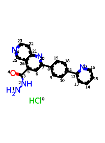 Cl.NNC(=O)c1cc(-c2ccc(-c3ccccn3)cc2)nc2ccncc12